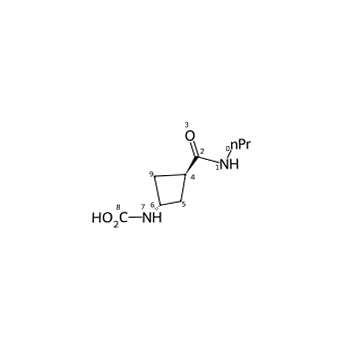 CCCNC(=O)[C@H]1C[C@H](NC(=O)O)C1